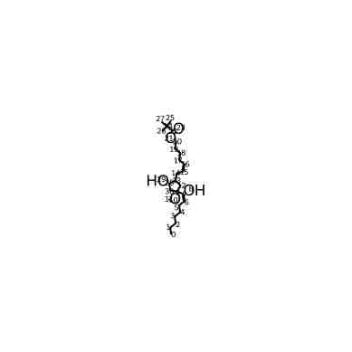 CCCCCC/C=C(/O)[C@]1(OC)CC(C/C=C\CCCCOC(=O)C(C)(C)C)[C@@H](O)C1